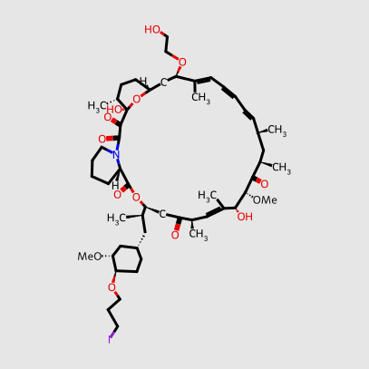 CO[C@@H]1C[C@H](C[C@@H](C)[C@@H]2CC(=O)[C@H](C)/C=C(\C)[C@@H](O)[C@@H](OC)C(=O)[C@H](C)C[C@H](C)/C=C/C=C/C=C(\C)[C@H](OCCO)C[C@@H]3CC[C@@H](C)[C@@](O)(O3)C(=O)C(=O)N3CCCC[C@H]3C(=O)O2)CC[C@H]1OCCCI